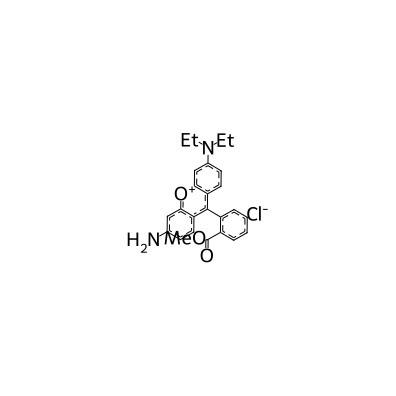 CCN(CC)c1ccc2c(-c3ccccc3C(=O)OC)c3ccc(N)cc3[o+]c2c1.[Cl-]